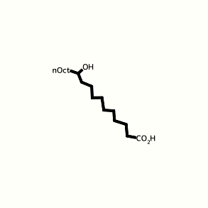 CCCCCCCCC(O)CCCCCCCCCC(=O)O